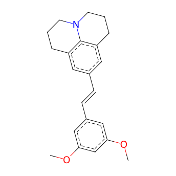 COc1cc(/C=C/c2cc3c4c(c2)CCCN4CCC3)cc(OC)c1